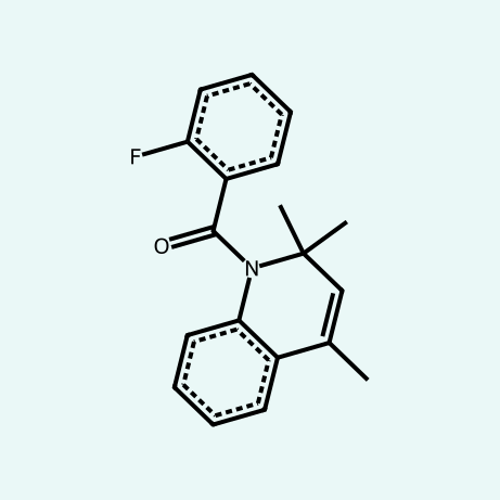 CC1=CC(C)(C)N(C(=O)c2ccccc2F)c2ccccc21